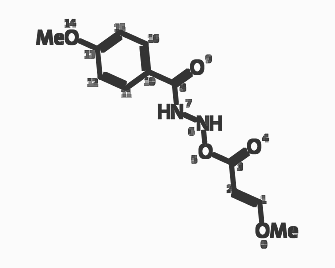 COC=CC(=O)ONNC(=O)c1ccc(OC)cc1